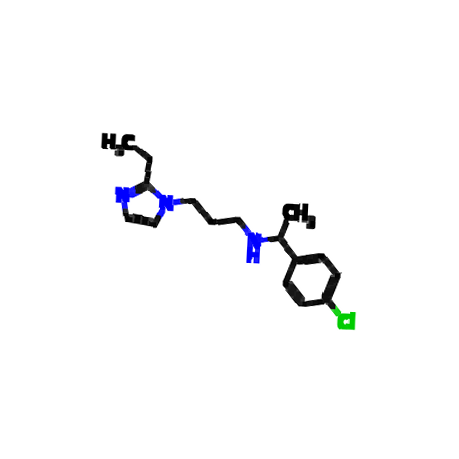 CCc1nccn1CCCNC(C)c1ccc(Cl)cc1